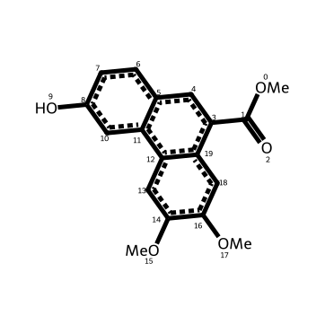 COC(=O)c1cc2ccc(O)cc2c2cc(OC)c(OC)cc12